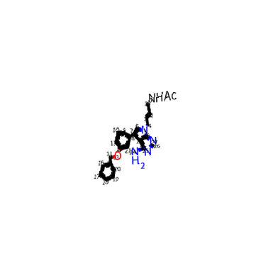 CC(=O)NCC=CCn1cc(-c2cccc(OCc3ccccc3)c2)c2c(N)ncnc21